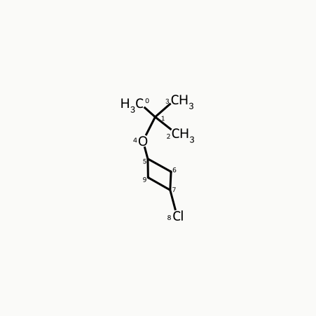 CC(C)(C)OC1CC(Cl)C1